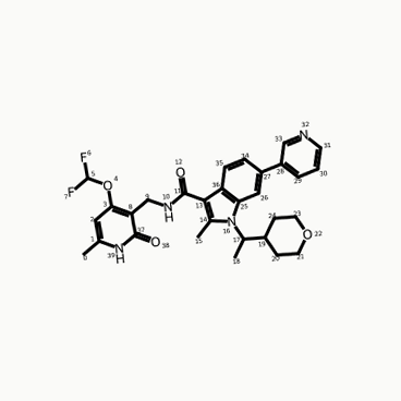 Cc1cc(OC(F)F)c(CNC(=O)c2c(C)n(C(C)C3CCOCC3)c3cc(-c4cccnc4)ccc23)c(=O)[nH]1